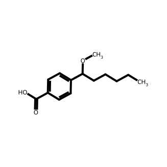 CCCCCC(OC)c1ccc(C(=O)O)cc1